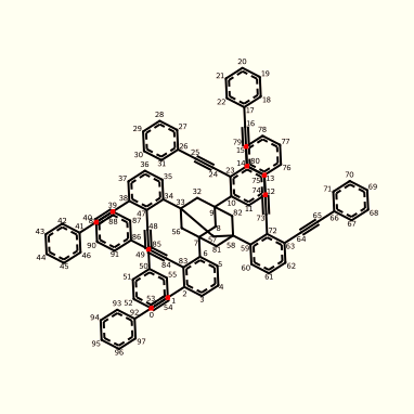 C(#Cc1cccc(C23CC4(c5cccc(C#Cc6ccccc6)c5C#Cc5ccccc5)CC(c5cccc(C#Cc6ccccc6)c5C#Cc5ccccc5)(C2)CC(c2cccc(C#Cc5ccccc5)c2C#Cc2ccccc2)(C3)C4)c1C#Cc1ccccc1)c1ccccc1